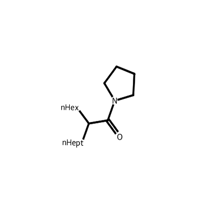 CCCCCCCC(CCCCCC)C(=O)N1CCCC1